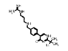 CCC(C)(C)c1nc(=O)c(-c2ccc(CNCCCNC(=N)N)cc2)c[nH]1